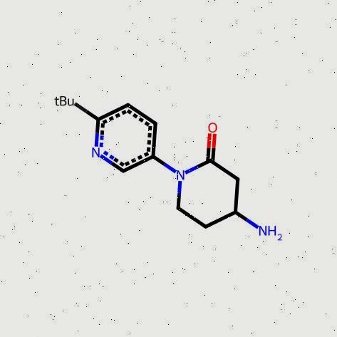 CC(C)(C)c1ccc(N2CCC(N)CC2=O)cn1